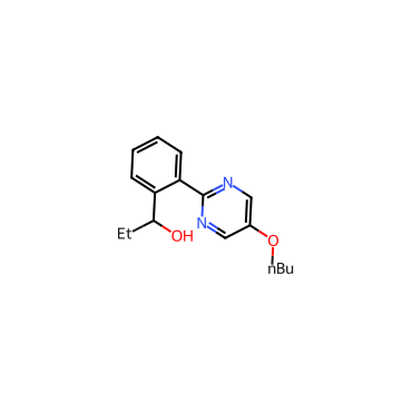 CCCCOc1cnc(-c2ccccc2C(O)CC)nc1